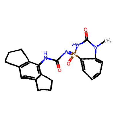 CN1C(=O)NS(=O)(=NC(=O)Nc2c3c(cc4c2CCC4)CCC3)c2ccccc21